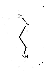 [CH2]CSCCS